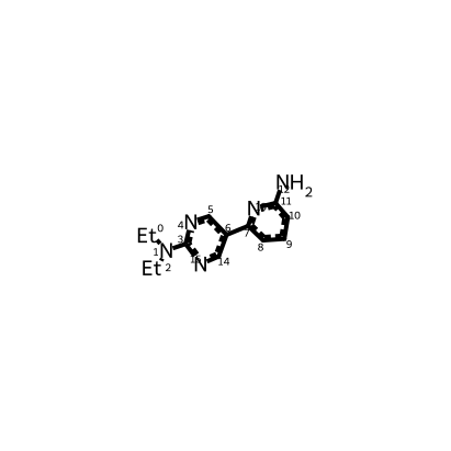 CCN(CC)c1ncc(-c2cccc(N)n2)cn1